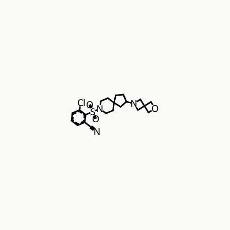 N#Cc1cccc(Cl)c1S(=O)(=O)N1CCC2(CCC(N3CC4(COC4)C3)C2)CC1